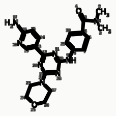 CN(C)C(=O)c1ccc(Nc2nc(-c3ccc(N)nc3)nc(N3CCOCC3)n2)cc1